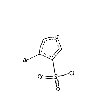 O=S(=O)(Cl)c1cscc1Br